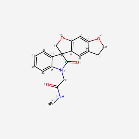 CCCNC(=O)CN1C(=O)C2(COc3cc4c(cc32)CCO4)c2ccccc21